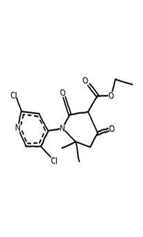 CCOC(=O)C1C(=O)CC(C)(C)N(c2cc(Cl)ncc2Cl)C1=O